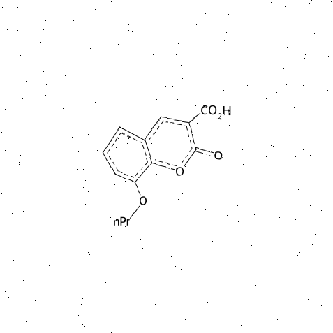 CCCOc1cccc2cc(C(=O)O)c(=O)oc12